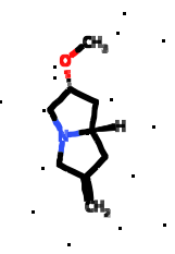 C=C1C[C@H]2C[C@@H](OC)CN2C1